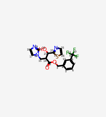 O=C(OCc1cccc(C(F)(F)F)c1)C(Cn1ccnc1)C(O)c1nccs1